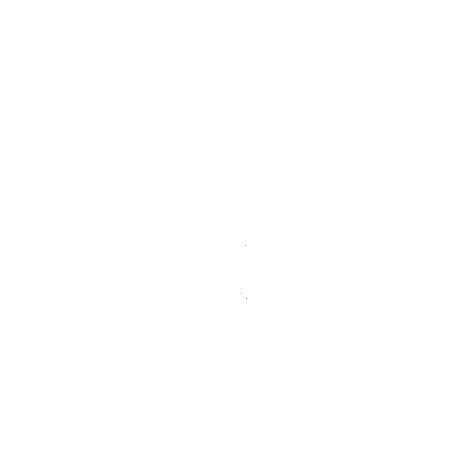 Oc1ccc(C(O)CN2CC3CC(O)(Cc4ccccc4)CC3C2)nc1F